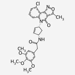 COc1cc(CC(=O)N[C@@H]2C=C[C@H](n3c(=O)c4c(C)onc4c4c(Cl)cccc43)C2)cc(OC)c1OC